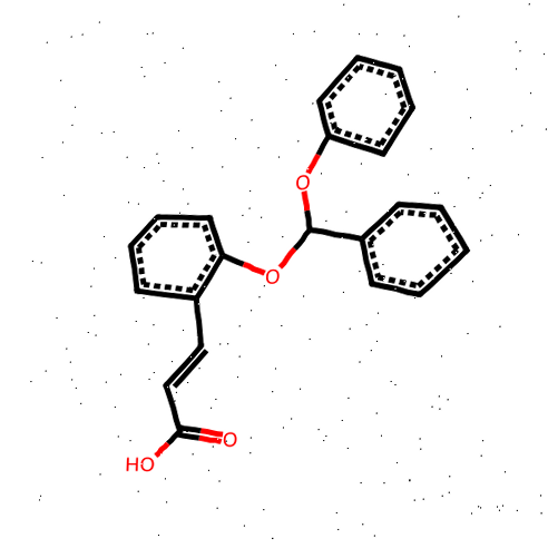 O=C(O)C=Cc1ccccc1OC(Oc1ccccc1)c1ccccc1